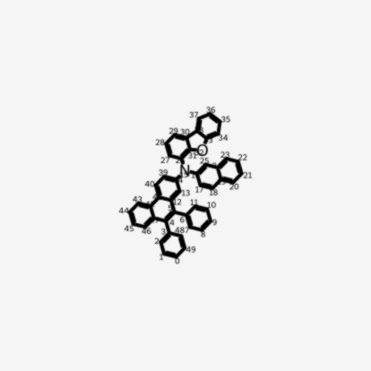 c1ccc(-c2c(-c3ccccc3)c3cc(N(c4ccc5ccccc5c4)c4cccc5c4oc4ccccc45)ccc3c3ccccc23)cc1